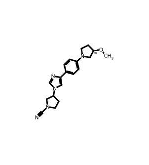 CO[C@@H]1CCN(c2ccc(-c3cn(C4CCN(C#N)C4)cn3)cc2)C1